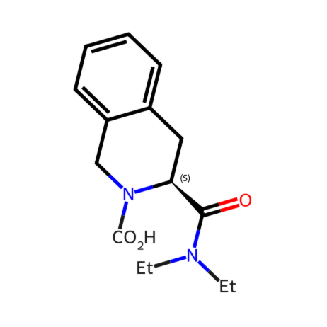 CCN(CC)C(=O)[C@@H]1Cc2ccccc2CN1C(=O)O